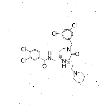 O=C(NC[C@@H]1CCN(Cc2cc(Cl)cc(Cl)c2)C(=O)[C@H](CCN2CCCCC2)N1)c1ccc(Cl)c(Cl)c1